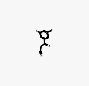 N#CCC(=O)c1cc(F)cc(F)c1